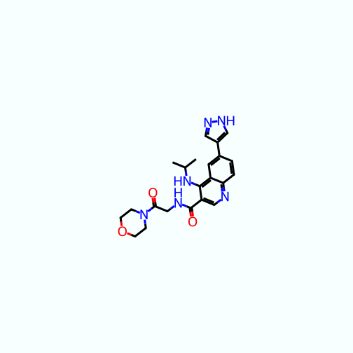 CC(C)Nc1c(C(=O)NCC(=O)N2CCOCC2)cnc2ccc(-c3cn[nH]c3)cc12